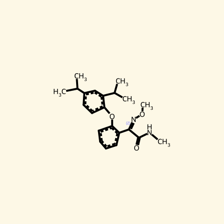 CNC(=O)/C(=N\OC)c1ccccc1Oc1ccc(C(C)C)cc1C(C)C